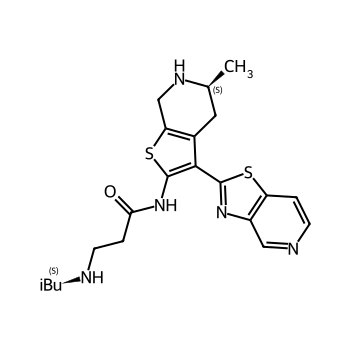 CC[C@H](C)NCCC(=O)Nc1sc2c(c1-c1nc3cnccc3s1)C[C@H](C)NC2